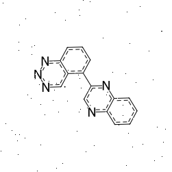 [c]1nnnc2cccc(-c3cnc4ccccc4n3)c12